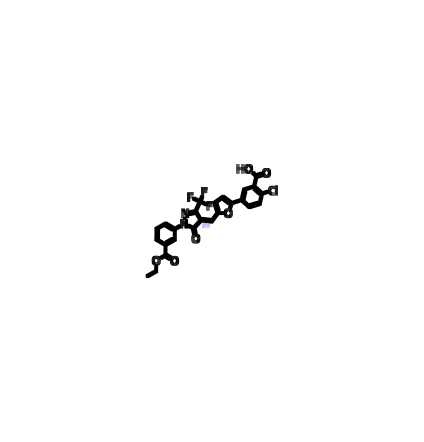 CCOC(=O)c1cccc(N2N=C(C(F)(F)F)/C(=C\c3ccc(-c4ccc(Cl)c(C(=O)O)c4)o3)C2=O)c1